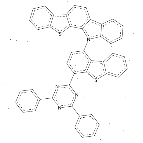 c1ccc(-c2nc(-c3ccccc3)nc(-c3ccc(-n4c5ccccc5c5ccc6c7ccccc7sc6c54)c4c3sc3ccccc34)n2)cc1